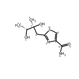 C[C@@H](O)[C@@](C)(O)Cc1nc(C(N)=O)cs1